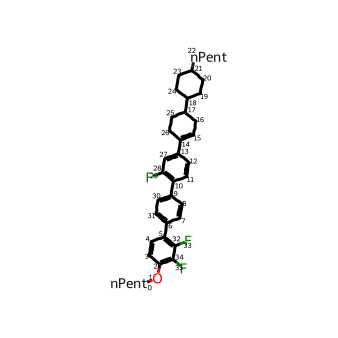 CCCCCOc1ccc(-c2ccc(-c3ccc(C4=CCC(C5CCC(CCCCC)CC5)CC4)cc3F)cc2)c(F)c1F